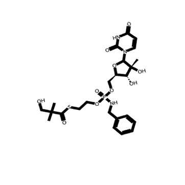 CC(C)(CO)C(=O)SCCOP(=O)(NCc1ccccc1)OC[C@H]1OC(n2ccc(=O)[nH]c2=O)[C@](C)(O)[C@@H]1O